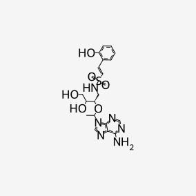 CC(O[C@H](CNS(=O)(=O)/C=C/c1ccccc1O)C(O)CO)n1cnc2c(N)ncnc21